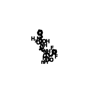 CCCC(=O)NC(CC(=O)NCC(C)(C)CNC(=O)C(O)C(N)Cc1ccccc1)Cc1cc(F)ccc1F